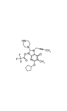 CC#CCN1c2c(nc(OC3CCCC3)n(C)c2=O)N(OC(=O)C(F)(F)F)C1N1CCNCC1